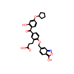 O=C(O)CCc1cc(C(=O)c2ccc(OC3CCCC3)cc2O)ccc1OCc1ccc2c(O)onc2c1